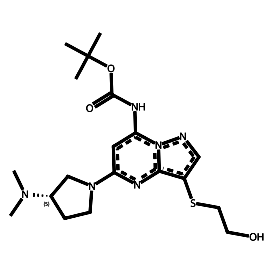 CN(C)[C@H]1CCN(c2cc(NC(=O)OC(C)(C)C)n3ncc(SCCO)c3n2)C1